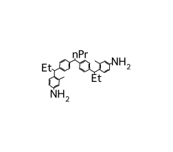 CCCC(c1ccc(C(CC)c2ccc(N)cc2C)cc1)c1ccc(C(CC)c2ccc(N)cc2C)cc1